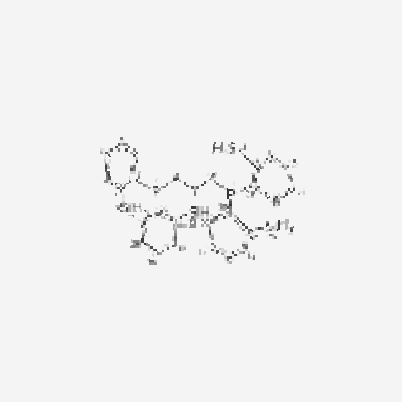 [SiH3]c1ccccc1P(CCCP(c1ccccc1[SiH3])c1ccccc1[SiH3])c1ccccc1[SiH3]